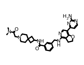 CN(C)C(=O)CN1CCC2(CC1)CC(NC(=O)c1cccc(CNc3ncc(-c4ccnc(N)n4)c4c3CCO4)c1)C2